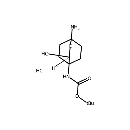 CC(C)(C)OC(=O)NC12CCC(N)(CC1)C[C@@H]2O.Cl